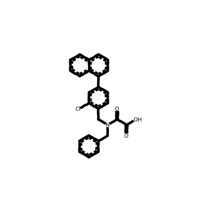 O=C(O)C(=O)N(Cc1ccccc1)Cc1ccc(-c2cccc3ccccc23)cc1Cl